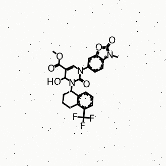 COC(=O)C1=CN(c2ccc3c(c2)oc(=O)n3C)C(=O)N(C2CCCc3c2cccc3C(F)(F)F)C1O